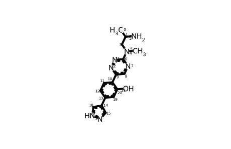 CC(N)CN(C)c1ncc(-c2ccc(-c3cn[nH]c3)cc2O)nn1